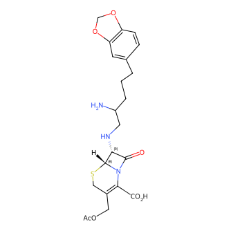 CC(=O)OCC1=C(C(=O)O)N2C(=O)[C@@H](NCC(N)CCCc3ccc4c(c3)OCO4)[C@H]2SC1